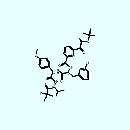 COc1ccc([C@H](NC(=O)[C@H](Cc2cccc(Cl)c2)NC(=O)c2cccc(C(=O)C(=O)OC(C)(C)C)n2)C(=O)N[C@H](C(=O)C(F)(F)F)C(C)C)cc1